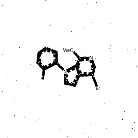 COc1ncc(Br)c2ccn(-c3ccccc3C)c12